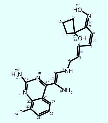 N/C(=C\NC/C=C/C=C\C(=N\O)C1(O)CCC1)c1nc(N)nc2c(F)cccc12